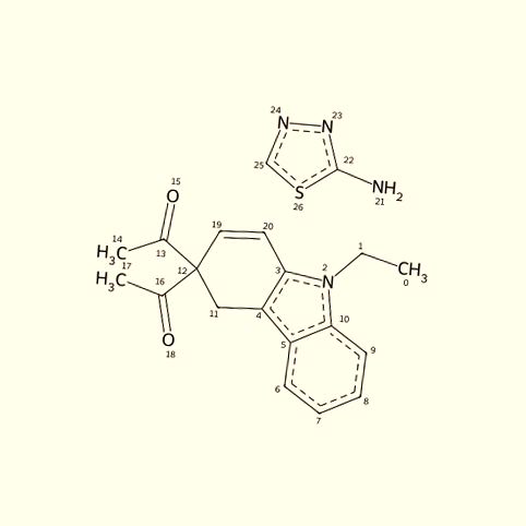 CCn1c2c(c3ccccc31)CC(C(C)=O)(C(C)=O)C=C2.Nc1nncs1